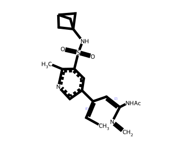 C=N/C(=C\C(=C/C)c1cnc(C)c(S(=O)(=O)NC23CC(C2)C3)c1)NC(C)=O